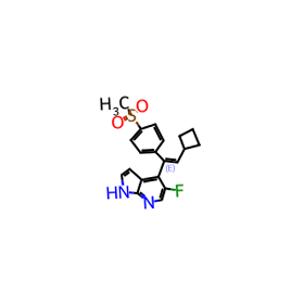 CS(=O)(=O)c1ccc(/C(=C\C2CCC2)c2c(F)cnc3[nH]ccc23)cc1